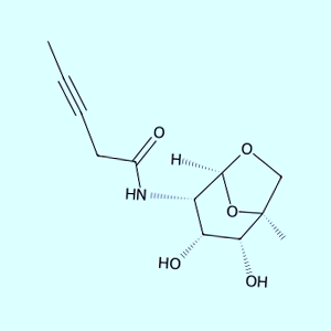 CC#CCC(=O)N[C@@H]1[C@H]2OC[C@](C)(O2)[C@H](O)[C@@H]1O